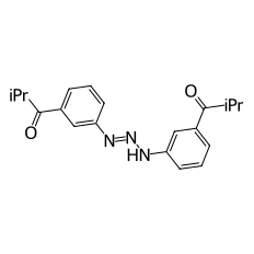 CC(C)C(=O)c1cccc(/N=N/Nc2cccc(C(=O)C(C)C)c2)c1